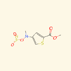 COC(=O)c1cc(N(C)O[SH](=O)=O)cs1